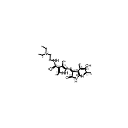 CCN(CC)CCNC(=O)c1c(C)[nH]c(C=C2C(=O)Nc3nc(C)c(O)c(C)c32)c1C